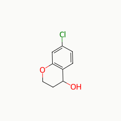 OC1CCOc2cc(Cl)ccc21